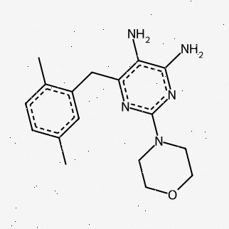 Cc1ccc(C)c(Cc2nc(N3CCOCC3)nc(N)c2N)c1